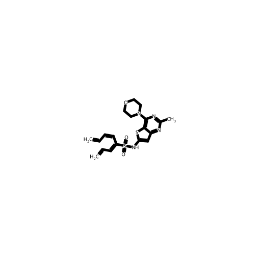 C=C/C=C\C(=C/C=C)S(=O)(=O)Nc1cc2nc(C)nc(N3CCOCC3)c2s1